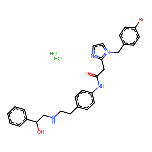 Cl.Cl.O=C(Cc1nccn1Cc1ccc(Br)cc1)Nc1ccc(CCNCC(O)c2ccccc2)cc1